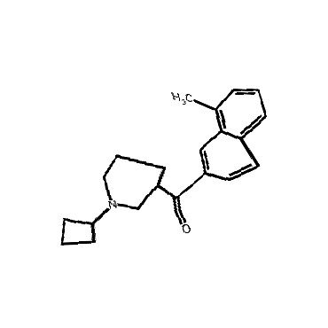 Cc1cccc2ccc(C(=O)C3CCCN(C4CCC4)C3)cc12